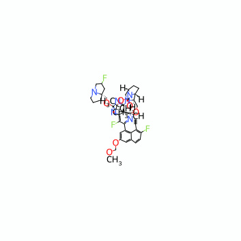 C#Cc1c(F)ccc2cc(OCOC)cc(-c3nc4c5c(nc(OC[C@]67CCCN6C[C@@H](F)C7)nc5c3F)N3C[C@@H]5CC[C@H]([C@H]3CO4)N5C(=O)OC(C)(C)C)c12